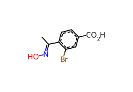 CC(=NO)c1ccc(C(=O)O)cc1Br